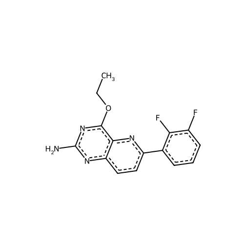 CCOc1nc(N)nc2ccc(-c3cccc(F)c3F)nc12